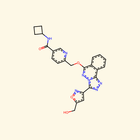 O=C(NC1CCC1)c1ccc(COc2nn3c(-c4cc(CO)on4)nnc3c3ccccc23)nc1